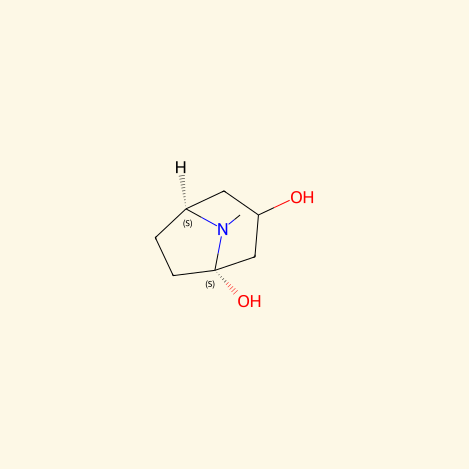 CN1[C@H]2CC[C@]1(O)CC(O)C2